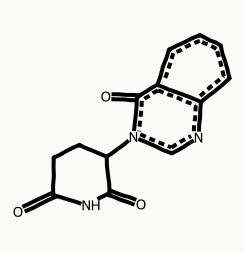 O=C1CCC(n2cnc3ccccc3c2=O)C(=O)N1